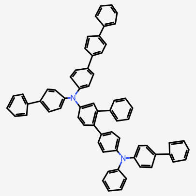 c1ccc(-c2ccc(-c3ccc(N(c4ccc(-c5ccccc5)cc4)c4ccc(-c5ccc(N(c6ccccc6)c6ccc(-c7ccccc7)cc6)cc5)c(-c5ccccc5)c4)cc3)cc2)cc1